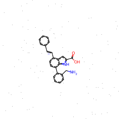 NCc1ccccc1-c1ccc(/C=C/c2ccccc2)c2cc(C(=O)O)[nH]c12